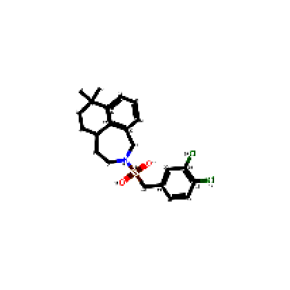 CC1(C)CCC2CCN(S(=O)(=O)Cc3ccc(Cl)c(Cl)c3)Cc3cccc1c32